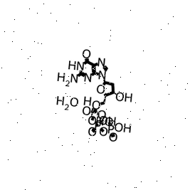 Nc1nc2c(ncn2[C@H]2C[C@H](O)[C@@H](COP(=O)(O)OP(=O)(O)OP(=O)(O)O)O2)c(=O)[nH]1.O